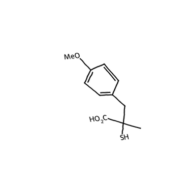 COc1ccc(CC(C)(S)C(=O)O)cc1